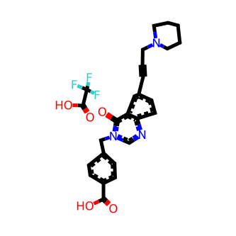 O=C(O)C(F)(F)F.O=C(O)c1ccc(Cn2cnc3ccc(C#CCN4CCCCC4)cc3c2=O)cc1